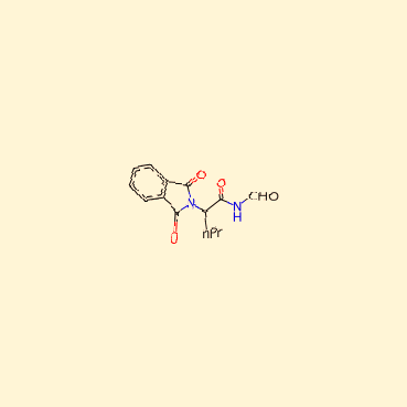 CCCC(C(=O)NC=O)N1C(=O)c2ccccc2C1=O